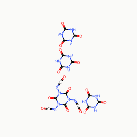 O=C=Nn1c(=O)n(N=C=O)c(=O)n(N=C=O)c1=O.O=c1[nH]c(=O)[nH]c(=O)[nH]1.O=c1[nH]c(=O)[nH]c(=O)[nH]1.O=c1[nH]c(=O)[nH]c(=O)[nH]1